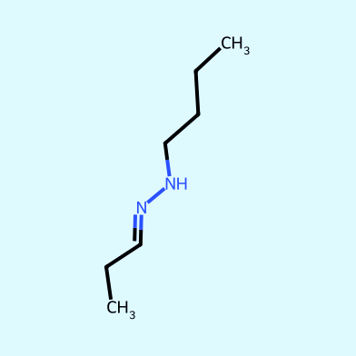 CCC=NNCCCC